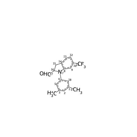 Cc1cc(C)cc(N2c3cc(C(F)(F)F)ccc3CC2C=O)c1